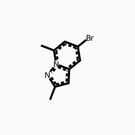 Cc1cc2cc(Br)cc(C)n2n1